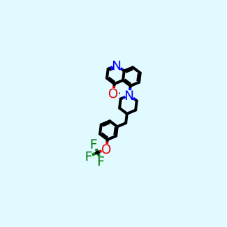 [O]c1ccnc2cccc(N3CCC(Cc4cccc(OC(F)(F)F)c4)CC3)c12